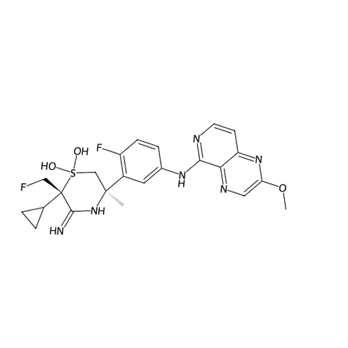 COc1cnc2c(Nc3ccc(F)c([C@]4(C)CS(O)(O)[C@@](CF)(C5CC5)C(=N)N4)c3)nccc2n1